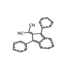 N#CC(C#N)=C1C(c2ccccc2)=c2ccccc2=C1c1ccccc1